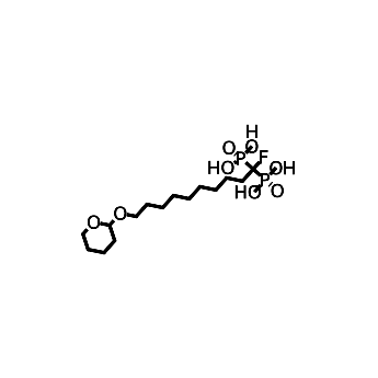 O=P(O)(O)C(F)(CCCCCCCCCOC1CCCCO1)P(=O)(O)O